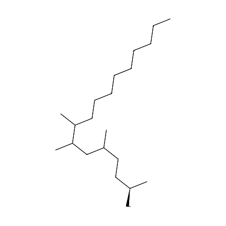 [CH2][C@H](C)CCC(C)CC(C)C(C)CCCCCCCCC